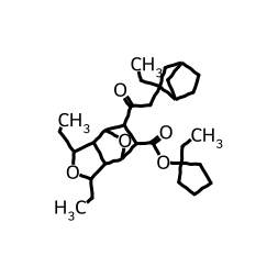 CCC1OC(CC)C2C3OC(C(C(=O)CC4(CC)CC5CCC4C5)C3C(=O)OC3(CC)CCCC3)C12